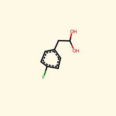 OC(O)Cc1ccc(F)cc1